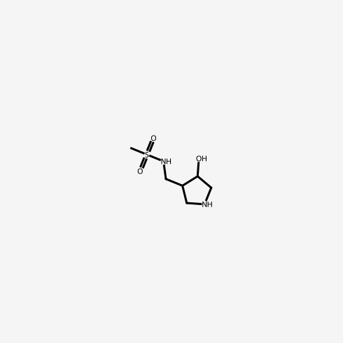 CS(=O)(=O)NCC1CNCC1O